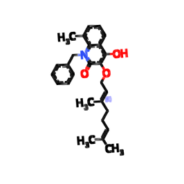 CC(C)=CCC/C(C)=C/COc1c(O)c2cccc(C)c2n(Cc2ccccc2)c1=O